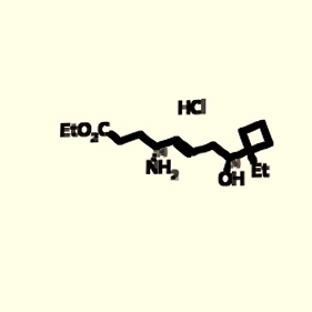 CCOC(=O)CC[C@@H](N)C=CC[C@H](O)C1(CC)CCC1.Cl